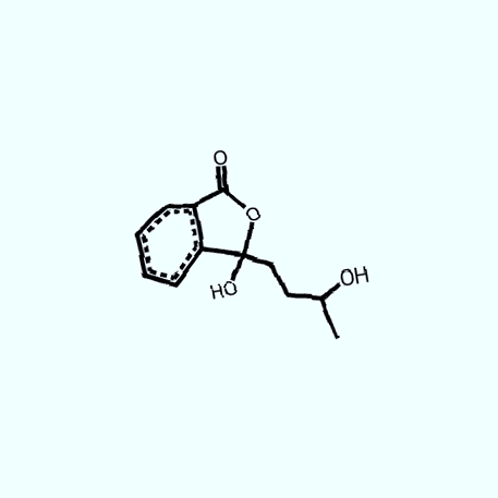 CC(O)CCC1(O)OC(=O)c2ccccc21